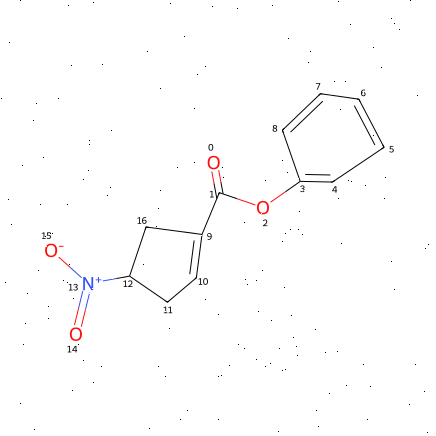 O=C(Oc1ccccc1)C1=CCC([N+](=O)[O-])C1